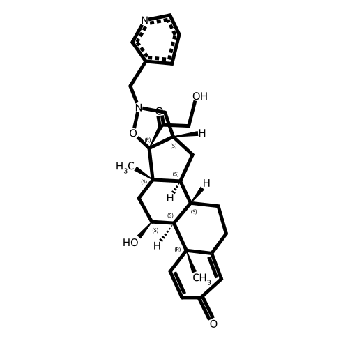 C[C@]12C=CC(=O)C=C1CC[C@@H]1[C@@H]2[C@@H](O)C[C@@]2(C)[C@H]1C[C@H]1CN(Cc3cccnc3)O[C@]12C(=O)CO